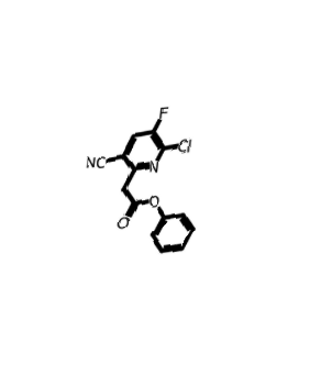 N#Cc1cc(F)c(Cl)nc1CC(=O)Oc1ccccc1